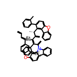 C=C/C=C(\CC)c1ccc2oc3ccc4c5ccccc5n(C(=C)/C(=C(\C(=C)[C@H](C)c5c(-c6ccccc6C)ccc6oc7ccccc7c56)C(C)(C)C)c5ccccc5C(F)(F)F)c4c3c2c1